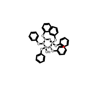 O[PH]1(Oc2ccccc2)N(Oc2ccccc2)P(Oc2ccccc2)N=P(Oc2ccccc2)(Oc2ccccc2)N1Oc1ccccc1